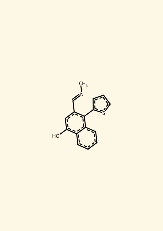 CN=Cc1cc(O)c2ccccc2c1-c1cccs1